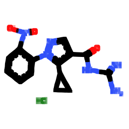 Cl.N=C(N)NC(=O)c1cnn(-c2ccccc2[N+](=O)[O-])c1C1CC1